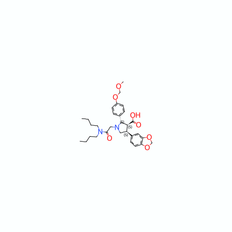 CCCCN(CCCC)C(=O)CN1C[C@H](c2ccc3c(c2)OCO3)[C@H](C(=O)O)[C@H]1c1ccc(OCOC)cc1